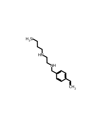 C=Cc1ccc(CNCCNCCC[SiH3])cc1